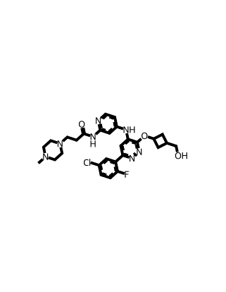 CN1CCN(CCC(=O)Nc2cc(Nc3cc(-c4cc(Cl)ccc4F)nnc3OC3CC(CO)C3)ccn2)CC1